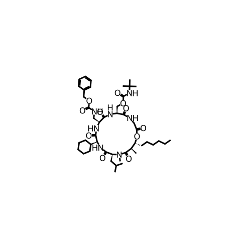 CCCCCC[C@H]1OC(=O)CNC(=O)[C@H](COC(=O)NC(C)(C)C)NC(=O)[C@H](CNC(=O)OCc2ccccc2)NC(=O)[C@H](C2CCCCC2)NC(=O)[C@H](CC(C)C)N(C)C(=O)[C@@H]1C